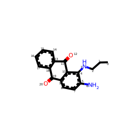 CCCNc1c(N)ccc2c1C(=O)c1ccccc1C2=O